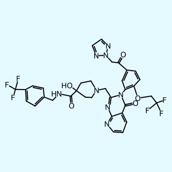 O=C(Cn1nccn1)c1ccc(OCC(F)(F)F)c(-n2c(CN3CCC(O)(C(=O)NCc4ccc(C(F)(F)F)cc4)CC3)nc3ncccc3c2=O)c1